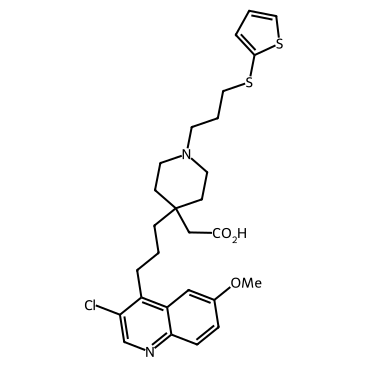 COc1ccc2ncc(Cl)c(CCCC3(CC(=O)O)CCN(CCCSc4cccs4)CC3)c2c1